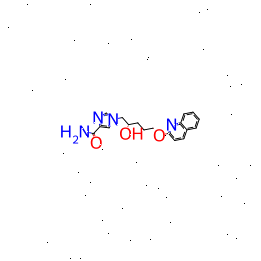 NC(=O)c1cn(C[C@@H](O)CCCOc2ccc3ccccc3n2)cn1